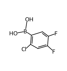 OB(O)c1cc(F)c(F)cc1Cl